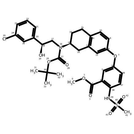 COC(=O)c1cc(Oc2ccc3c(c2)C[C@@H](N(C[C@@H](O)c2cccc(Cl)c2)C(=O)OC(C)(C)C)CC3)ccc1NS(C)(=O)=O